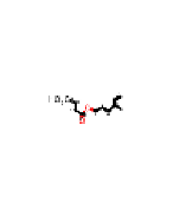 C=CC(C)CCCOC(=O)CCC(=O)O